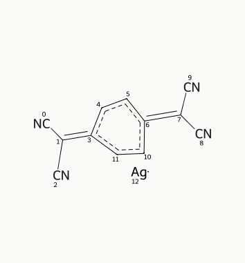 N#CC(C#N)=c1ccc(=C(C#N)C#N)cc1.[Ag]